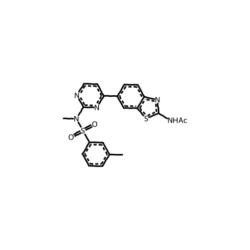 CC(=O)Nc1nc2ccc(-c3ccnc(N(C)S(=O)(=O)c4cccc(C)c4)n3)cc2s1